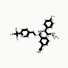 CNC(=O)[C@@H](N[C@@H](CCc1ccc(C(F)(F)F)nc1)c1cccc(C#N)c1)c1ccc(F)cc1